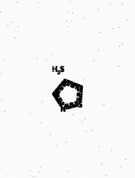 S.c1cnsc1